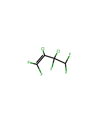 FC(F)=C(Cl)C(F)(Cl)C(F)F